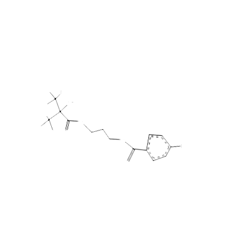 O=C(OCCCOC(=O)C(O)(C(F)(F)F)C(F)(F)F)c1ccc(I)cc1